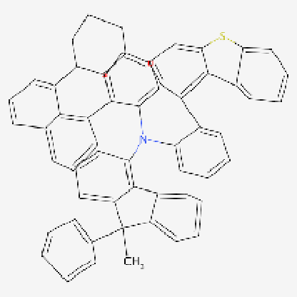 CC1(c2ccccc2)c2ccccc2-c2c(N(c3ccccc3-c3cccc4cccc(C5CCCCC5)c34)c3ccccc3-c3cccc4sc5ccccc5c34)cccc21